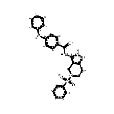 O=C(Nc1[nH]nc2c1CN(S(=O)(=O)c1ccccc1)CC2)c1ccc(Oc2ccccc2)cc1